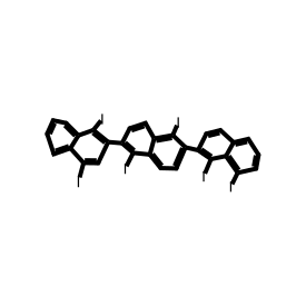 Ic1cc(-c2ccc3c(I)c(-c4ccc5cccc(I)c5c4I)ccc3c2I)c(I)c2ccccc12